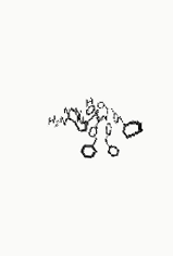 Nc1ncnn2c(C3(O)O[C@H](COCc4ccccc4)[C@@H](OCc4ccccc4)[C@H]3OCc3ccccc3)ccc12